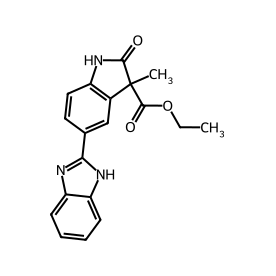 CCOC(=O)C1(C)C(=O)Nc2ccc(-c3nc4ccccc4[nH]3)cc21